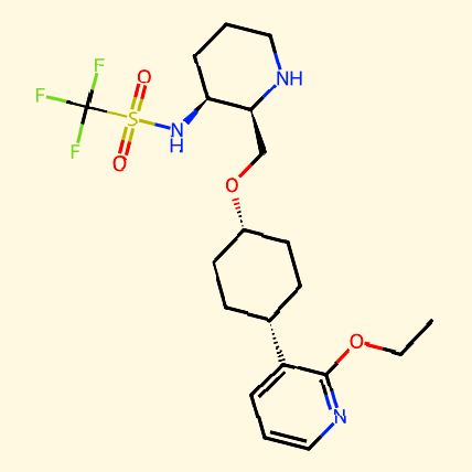 CCOc1ncccc1[C@H]1CC[C@@H](OC[C@@H]2NCCC[C@@H]2NS(=O)(=O)C(F)(F)F)CC1